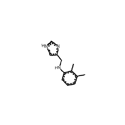 Cc1cccc(NCc2c[nH]cn2)c1C